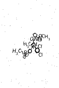 CCCS(=O)(=O)Oc1ccc(-c2c(C)c(C(=O)NC3(C(=O)OC)CCCC3)nn2-c2ccc(Cl)cc2Cl)cc1